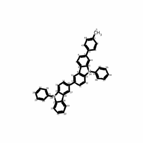 Cc1ccc(-c2ccc3c4cc(-c5ccc6c(c5)c5ccccc5n6-c5ccccc5)ccc4n(-c4ccccc4)c3c2)cc1